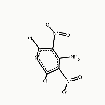 Nc1c([N+](=O)[O-])c(Cl)nc(Cl)c1[N+](=O)[O-]